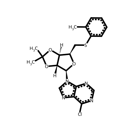 Cc1ccccc1SC[C@H]1O[C@@H](n2cnc3c(Cl)ncnc32)[C@@H]2OC(C)(C)O[C@H]21